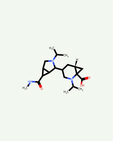 CNC(=O)C1C2CN(C(C)C)C(C3C[C@@H]4CC4(C(=O)O)N(C(C)C)C3)C21